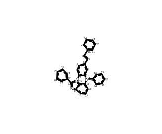 C(=C\c1ccc2c(c1)N(c1ccccc1)c1cccc3nc(-c4ccccc4)n-2c13)/c1ccccc1